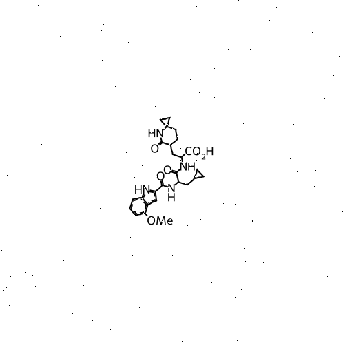 COc1cccc2[nH]c(C(=O)NC(CC3CC3)C(=O)NC(CC3CCC4(CC4)NC3=O)C(=O)O)cc12